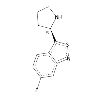 Fc1ccc2c([C@H]3CCCN3)snc2c1